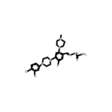 CN1CCN(c2cc(N3CCN(c4ccc(Cl)c(Cl)c4)CC3)c(F)cc2C=NNC(N)=S)CC1